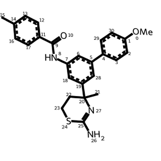 COc1ccc(-c2cc(NC(=O)c3ccc(C)cc3)cc(C3(C)CCSC(N)=N3)c2)cc1